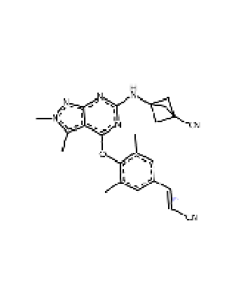 Cc1cc(/C=C/C#N)cc(C)c1Oc1nc(NC23CC(C#N)(C2)C3)nc2nn(C)c(C)c12